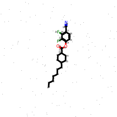 CCCCCCCC1CCC(C(=O)Oc2ccc(C#N)c(F)c2F)CC1